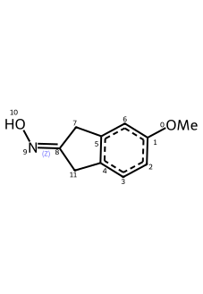 COc1ccc2c(c1)C/C(=N\O)C2